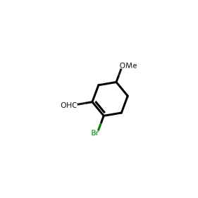 COC1CCC(Br)=C(C=O)C1